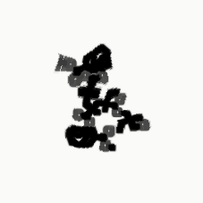 CCC1(COC(=O)C(C)(CC)CC(C)(CC(C)(C)C(=O)OC23CC4CC(C2)CC(C(=O)O)(C4)C3)C(=O)OC23CC4CC(C2)CC(C(=O)OC)(C4)C3)COC1